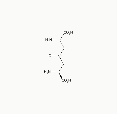 NC(C[S+]([O-])C[C@H](N)C(=O)O)C(=O)O